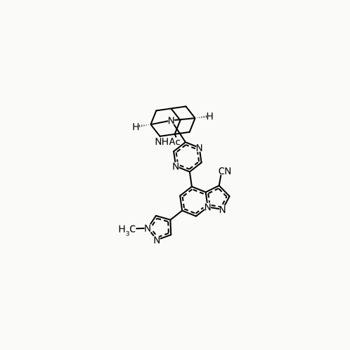 CC(=O)NC12CC3C[C@H](C1)N(c1cnc(-c4cc(-c5cnn(C)c5)cn5ncc(C#N)c45)cn1)[C@@H](C3)C2